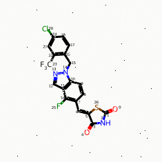 O=C1NC(=O)/C(=C/c2ccc3c(cnn3Cc3ccc(Cl)cc3C(F)(F)F)c2F)S1